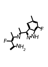 C=C(N)/C(F)=C(C)\N=C(/C)c1n[nH]c2c(F)cc(C)cc12